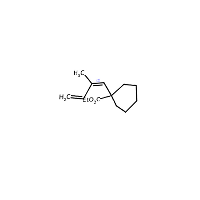 C=C/C(C)=C\C1(C(=O)OCC)CCCCC1